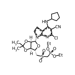 CCOP(=O)(CS(=O)(=O)C[C@H]1O[C@@H](n2ccc3c(NC4CCCC4)c(C#N)c(Cl)nc32)[C@@H]2OC(C)(C)O[C@@H]21)OCC